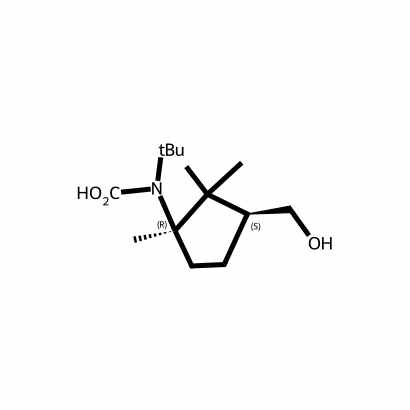 CC(C)(C)N(C(=O)O)[C@]1(C)CC[C@H](CO)C1(C)C